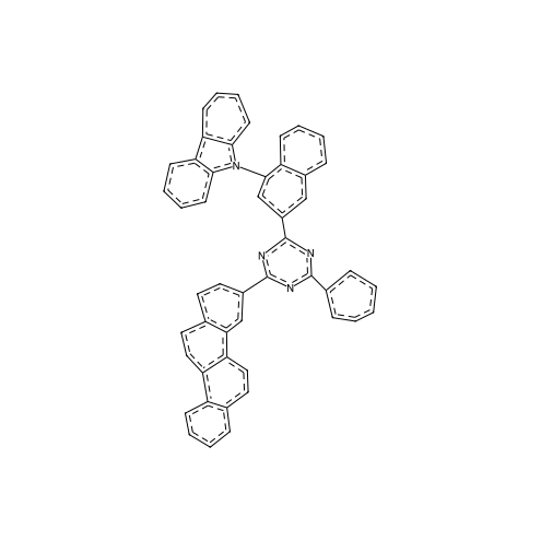 c1ccc(-c2nc(-c3cc(-n4c5ccccc5c5ccccc54)c4ccccc4c3)nc(-c3ccc4ccc5c6ccccc6ccc5c4c3)n2)cc1